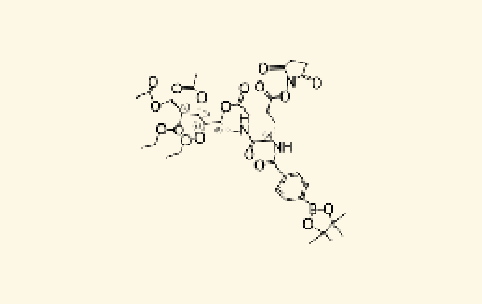 CCOO[C@H]([C@@H](OC(C)=O)[C@H](COC(C)=O)OOCC)[C@@H](CNC(=O)[C@H](CCC(=O)ON1C(=O)CCC1=O)NC(=O)c1ccc(B2OC(C)(C)C(C)(C)O2)cc1)OC(C)=O